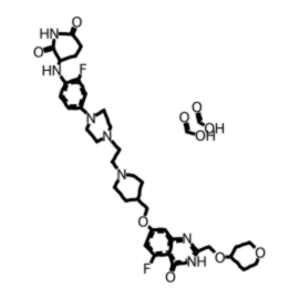 O=C1CCC(Nc2ccc(N3CCN(CCN4CCC(COc5cc(F)c6c(=O)[nH]c(COC7CCOCC7)nc6c5)CC4)CC3)cc2F)C(=O)N1.O=CO.O=CO